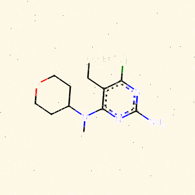 CCOC(=O)Cc1c(Cl)nc(N)nc1N(C)C1CCOCC1